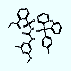 COC(=O)c1ccccc1S(=O)(=O)NC(=O)Nc1nc(C)nc(OC)n1.OC(c1ccc(F)cc1)(c1cncnc1)c1ccccc1Cl